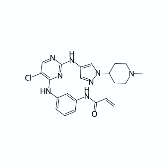 C=CC(=O)Nc1cccc(Nc2nc(Nc3cnn(C4CCN(C)CC4)c3)ncc2Cl)c1